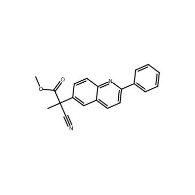 COC(=O)C(C)(C#N)c1ccc2nc(-c3ccccc3)ccc2c1